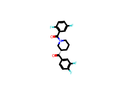 O=C(c1ccc(F)c(F)c1)[C@H]1CCCN(C(=O)c2cc(F)ccc2F)C1